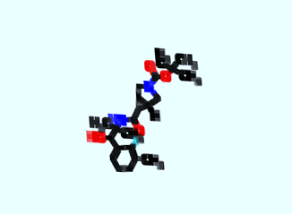 Cc1cccc(C(O)C(C)(C)NC(=O)C2C3CN(C(=O)OC(C)(C)C)C[C@@H]32)c1F